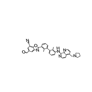 Cc1c(Nc2nccc3c(CN4CCCC4)ccnc23)cccc1-c1cccc(-c2nc3cc(C=O)cc(C#N)c3o2)c1C